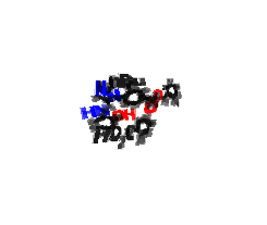 CCCCc1ncc(CNc2ccccc2O)n1-c1ccc(C(=O)OCc2ccccc2)cc1C.O=C(O)c1ccccc1